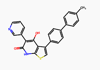 Cc1ccc(-c2ccc(-c3csc4[nH]c(=O)c(-c5cccnc5)c(O)c34)cc2)cc1